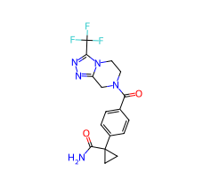 NC(=O)C1(c2ccc(C(=O)N3CCn4c(nnc4C(F)(F)F)C3)cc2)CC1